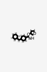 N=C(OC1CCOC1)C1CCC(CC2CCCCC2)CC1